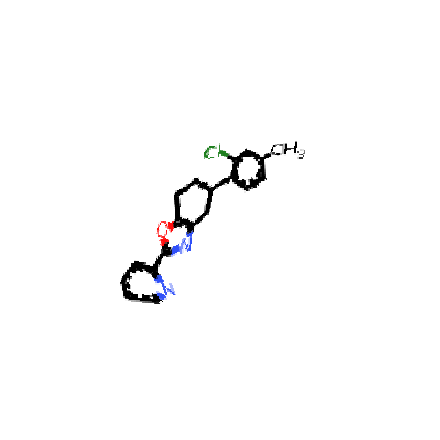 Cc1ccc(C2CCc3oc(-c4ccccn4)nc3C2)c(Cl)c1